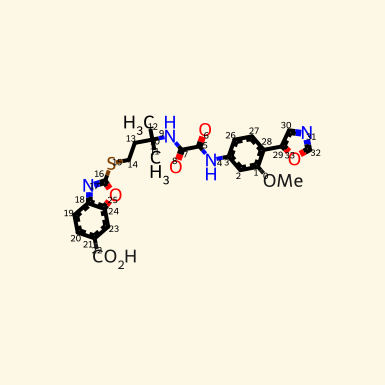 COc1cc(NC(=O)C(=O)NC(C)(C)CCSc2nc3ccc(C(=O)O)cc3o2)ccc1-c1cnco1